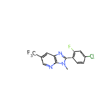 Cn1c(-c2ccc(Cl)cc2F)nc2cc(C(F)(F)F)cnc21